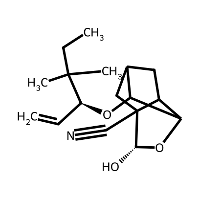 C=C[C@H](OC1C2CC3C1O[C@H](O)C3(C#N)C2)C(C)(C)CC